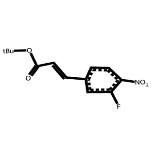 CC(C)(C)OC(=O)/C=C/c1ccc([N+](=O)[O-])c(F)c1